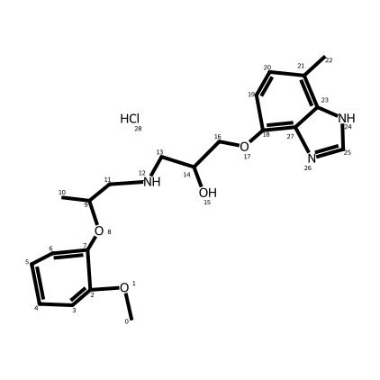 COc1ccccc1OC(C)CNCC(O)COc1ccc(C)c2[nH]cnc12.Cl